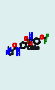 COc1cc(NC(=O)c2ccnn2C)ccc1S(=O)(=O)Nc1cccc(OC(F)F)c1